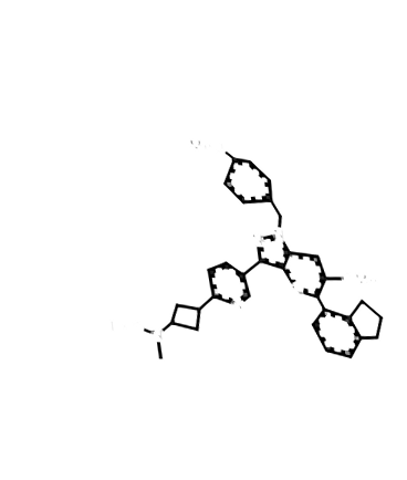 COc1ccc(Cn2nc(-c3ccc(C4CC(N(C)C(=O)O)C4)nc3)c3nc(-c4cccc5c4CCC5)c(OC)cc32)cc1